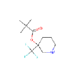 CC(C)(C)C(=O)OC1(C(F)(F)F)CCCNC1